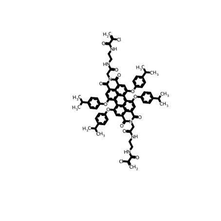 C=C(Cl)C(=O)NCCNC(=O)CN1C(=O)c2cc(Oc3ccc(C(C)C)cc3)c3c4c(Oc5ccc(C(C)C)cc5)cc5c6c(cc(Oc7ccc(C(C)C)cc7)c(c7c(Oc8ccc(C(C)C)cc8)cc(c2c37)C1=O)c64)C(=O)N(CC(=O)NCCNC(=O)C(=C)Cl)C5=O